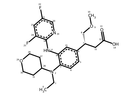 CCN(c1ccc([C@H](COC)CC(=O)O)cc1Nc1ncc(F)cc1F)C1CCOCC1